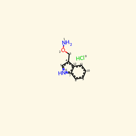 Cl.NOCc1c[nH]c2ccccc12